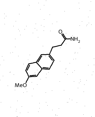 COc1ccc2cc(CCC(N)=O)ccc2c1